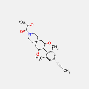 CC#Cc1cc(C)c(C2C(=O)CC3(CCN(C(=O)C(=O)C(C)(C)C)CC3)CC2=O)c(C)c1